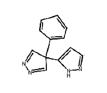 [c]1cc(C2(c3ccccc3)C=NN=C2)[nH]n1